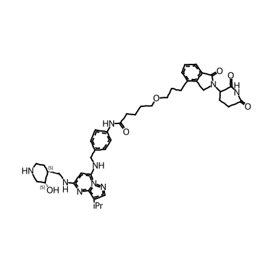 CC(C)c1cnn2c(NCc3ccc(NC(=O)CCCCOCCCc4cccc5c4CN(C4CCC(=O)NC4=O)C5=O)cc3)cc(NC[C@@H]3CCNC[C@H]3O)nc12